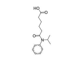 CC(C)N(C(=O)CCCCC(=O)O)c1ccccc1